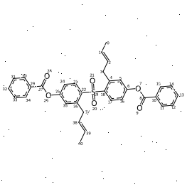 CC=CCc1cc(OC(=O)c2ccccc2)ccc1S(=O)(=O)c1ccc(OC(=O)c2ccccc2)cc1CC=CC